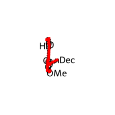 CCCCCCCCCCCCCCCC(=O)O[C@@H](COCc1ccc(OC)cc1)COC(=O)CCCCCCCCCCCNC(=O)OCc1ccccc1